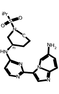 CC(C)S(=O)(=O)N1CCC[C@@H](Nc2ccnc(-c3cnc4ccc(N)cn34)n2)C1